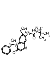 C[C@@H](c1ccccc1)n1c(=O)cnc2cc(NC(=O)NC(C)(C)C)c(CO)cc21